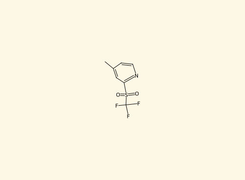 Cc1ccnc(S(=O)(=O)C(F)(F)F)c1